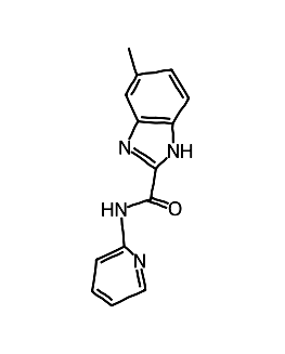 Cc1ccc2[nH]c(C(=O)Nc3ccccn3)nc2c1